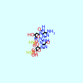 Nc1nc2c(ncn2[C@@H]2O[C@H](OP(=O)(O)S)CC2OP(=O)(S)OC[C@H]2O[C@@H](n3c(=O)[nH]c4c(N)ncnc43)C[C@@H]2O)c(=O)[nH]1